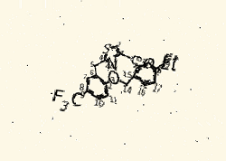 CCOC(=O)c1csc(Cc2cc(C(F)(F)F)ccc2OCc2ccc(F)cc2)n1